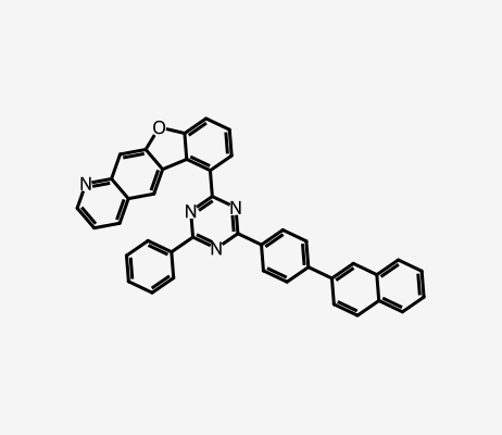 c1ccc(-c2nc(-c3ccc(-c4ccc5ccccc5c4)cc3)nc(-c3cccc4oc5cc6ncccc6cc5c34)n2)cc1